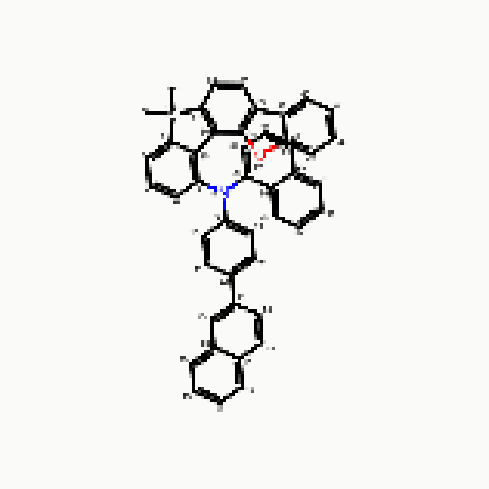 C[Si]1(C)c2cccc(N(c3ccc(-c4ccc5ccccc5c4)cc3)c3cccc4ccccc34)c2-c2c1ccc1c2oc2ccccc21